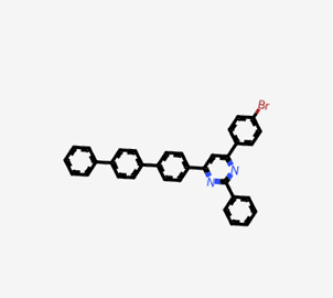 Brc1ccc(-c2cc(-c3ccc(-c4ccc(-c5ccccc5)cc4)cc3)nc(-c3ccccc3)n2)cc1